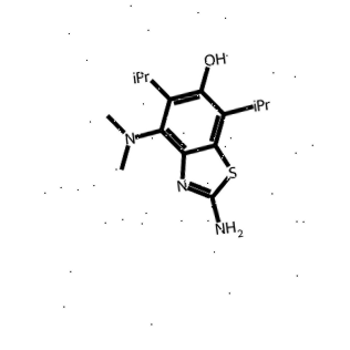 CC(C)c1c(O)c(C(C)C)c2sc(N)nc2c1N(C)C